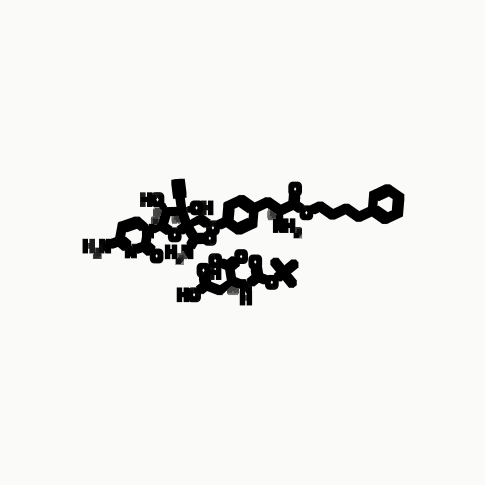 C#C[C@]1(O)[C@@H](O)[C@H](n2ccc(N)nc2=O)O[C@@]1(COc1ccc(C[C@H](N)C(=O)OCCCCc2ccccc2)cc1)C(N)=O.CC(C)(C)OC(=O)N[C@@H](CC(=O)O)C(=O)O